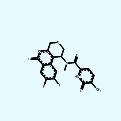 CN(C(=O)c1ccc(C(F)(F)F)c(=O)[nH]1)C1COCc2[nH]c(=O)c3cc(F)c(F)cc3c21